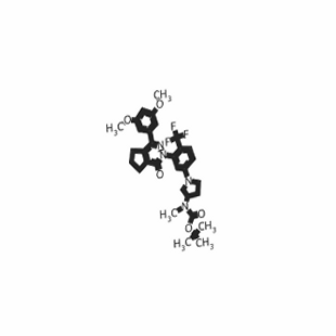 COc1cc(OC)cc(-c2nn(-c3cc(N4CCC(N(C)C(=O)OC(C)(C)C)C4)ccc3C(F)(F)F)c(=O)c3c2CCC3)c1